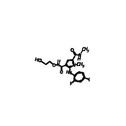 CNC(=O)c1cc(C(=O)NOCCO)c(Nc2ccc(I)cc2F)n1C